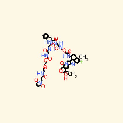 CC[C@@]1(O)COCc2c1cc1n(c2=O)Cc2c-1nc1cc(F)c(C)c3c1c2[C@@H](NC(=O)COCNC(=O)CNC(=O)[C@H](Cc1ccccc1)NC(=O)CNC(=O)CNC(=O)OCCOCCNC(=O)CCN1C(=O)C=CC1=O)CC3